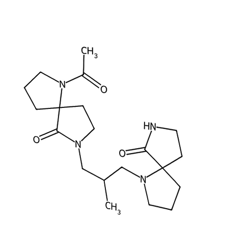 CC(=O)N1CCCC12CCN(CC(C)CN1CCCC13CCNC3=O)C2=O